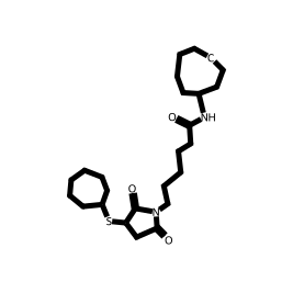 O=C(CCCCCN1C(=O)CC(SC2CCCCCC2)C1=O)NC1CCCCCCC1